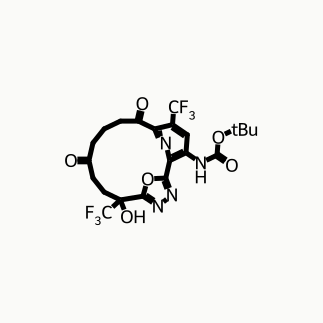 CC(C)(C)OC(=O)Nc1cc(C(F)(F)F)c2nc1-c1nnc(o1)C(O)(C(F)(F)F)CCC(=O)CCCC2=O